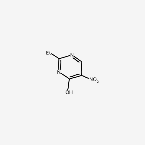 CCc1ncc([N+](=O)[O-])c(O)n1